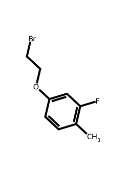 Cc1ccc(OCCBr)cc1F